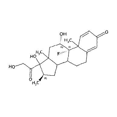 C[C@@H]1CC2C3CCC4=CC(=O)C=CC4(C)[C@]3(F)[C@@H](O)CC2(C)C1(O)C(=O)CO